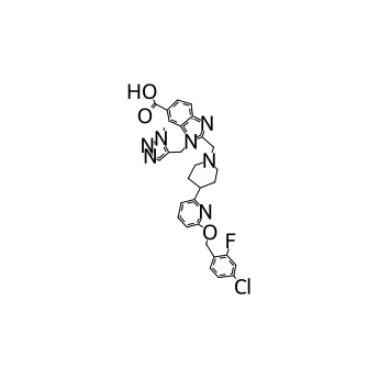 Cn1nncc1Cn1c(CN2CCC(c3cccc(OCc4ccc(Cl)cc4F)n3)CC2)nc2ccc(C(=O)O)cc21